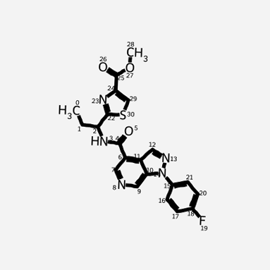 CCC(NC(=O)c1cncc2c1cnn2-c1ccc(F)cc1)c1nc(C(=O)OC)cs1